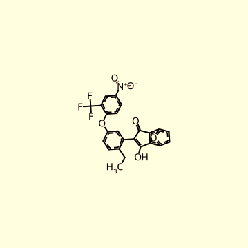 CCc1ccc(Oc2ccc([N+](=O)[O-])cc2C(F)(F)F)cc1C1=C(O)c2c(c3ccc2o3)C1=O